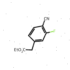 CCOC(=O)Cc1ccc(C#N)c(F)c1